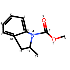 COC(=O)N1c2ccccc2CC1C